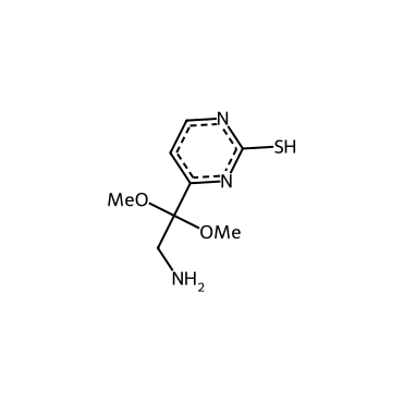 COC(CN)(OC)c1ccnc(S)n1